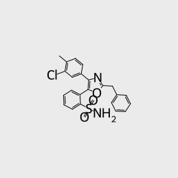 Cc1ccc(-c2nc(Cc3ccccc3)oc2-c2ccccc2S(N)(=O)=O)cc1Cl